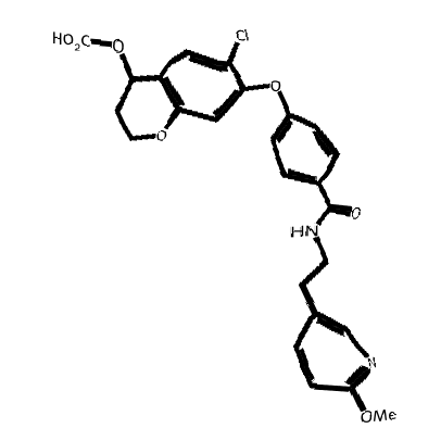 COc1ccc(CCNC(=O)c2ccc(Oc3cc4c(cc3Cl)C(OC(=O)O)CCO4)cc2)cn1